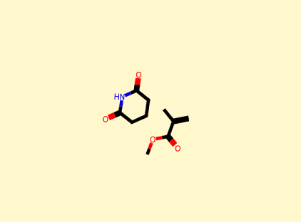 C=C(C)C(=O)OC.O=C1CCCC(=O)N1